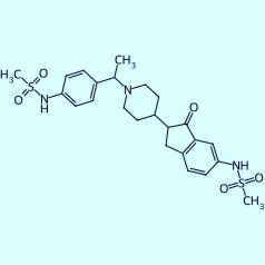 CC(c1ccc(NS(C)(=O)=O)cc1)N1CCC(C2Cc3ccc(NS(C)(=O)=O)cc3C2=O)CC1